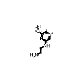 CCOc1cncc(NCCN)n1